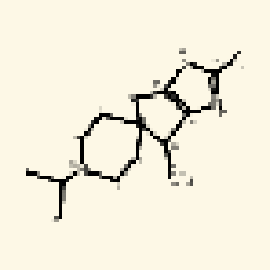 CC(C)N1CCC2(CC1)Cc1sc(Cl)nc1C2N